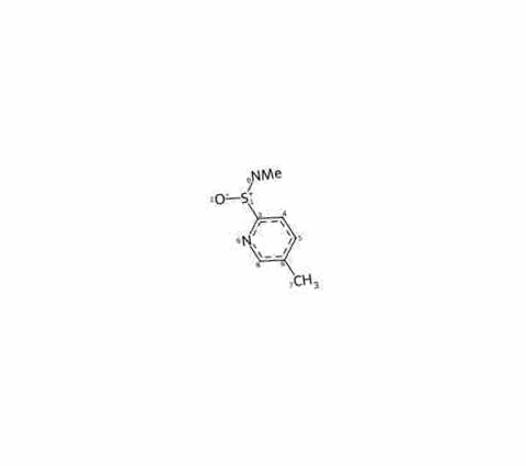 CN[S+]([O-])c1ccc(C)cn1